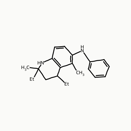 CCC1CC(C)(CC)Nc2ccc(Nc3ccccc3)c(C)c21